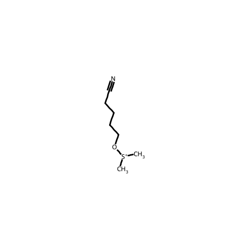 C[S+](C)OCCCCC#N